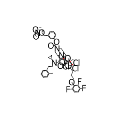 Cc1ccccc1CCN(C(=O)C1=C(c2ccc(CCCOc3c(F)ccc(F)c3F)cc2)CC2CN(C(=O)Oc3cccc(CO[N+](=O)[O-])c3)CC1N2C(=O)OC(C)(C)C(Cl)(Cl)Cl)C1CC1